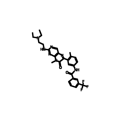 CCN(CC)CCNc1ncc2nc(-c3cc(NC(=O)c4cccc(C(F)(F)F)c4)ccc3C)c(=O)n(C)c2n1